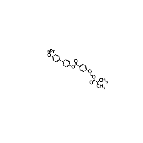 C=C(C)C(=O)OCOc1ccc(C(=O)Oc2ccc(-c3ccc(OCCC)cc3)cc2)cc1